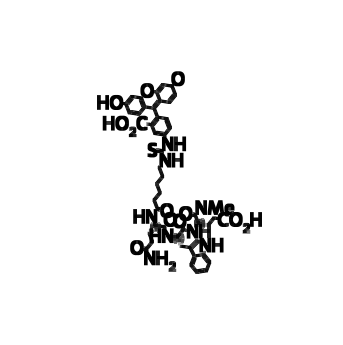 CNC(=O)[C@H](CCC(=O)O)NC(=O)[C@H](Cc1c[nH]c2ccccc12)NC(=O)[C@H](CCC(N)=O)NC(=O)CCCCCNC(=S)Nc1ccc(-c2c3ccc(=O)cc-3oc3cc(O)ccc23)c(C(=O)O)c1